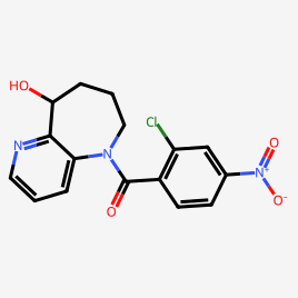 O=C(c1ccc([N+](=O)[O-])cc1Cl)N1CCCC(O)c2ncccc21